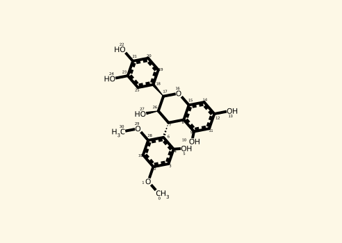 COc1cc(O)c([C@H]2c3c(O)cc(O)cc3O[C@H](c3ccc(O)c(O)c3)[C@@H]2O)c(OC)c1